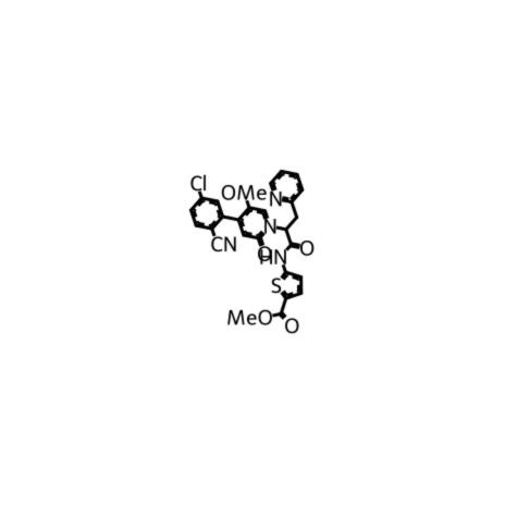 COC(=O)c1ccc(NC(=O)C(Cc2ccccn2)n2cc(OC)c(-c3cc(Cl)ccc3C#N)cc2=O)s1